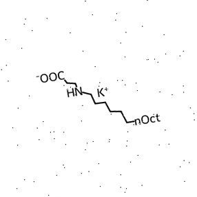 CCCCCCCCCCCCCCNCCC(=O)[O-].[K+]